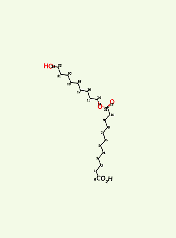 O=C(O)CCCCCCCCCCC(=O)OCCCCCCCCCO